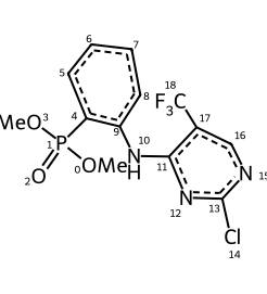 COP(=O)(OC)c1ccccc1Nc1nc(Cl)ncc1C(F)(F)F